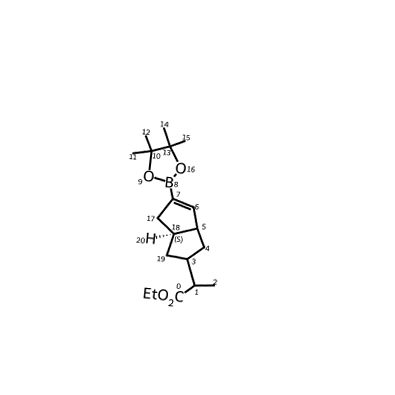 CCOC(=O)C(C)C1CC2C=C(B3OC(C)(C)C(C)(C)O3)C[C@@H]2C1